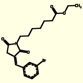 CCOC(=O)CCCCCCN1C(=O)CC(=Cc2cccc(Br)c2)C1=O